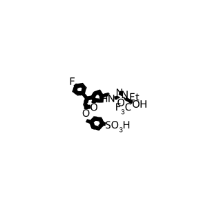 CCC(O)(c1nnc(NCc2ccc3c(-c4ccc(F)cc4)cc(=O)oc3c2)o1)C(F)(F)F.Cc1ccc(S(=O)(=O)O)cc1